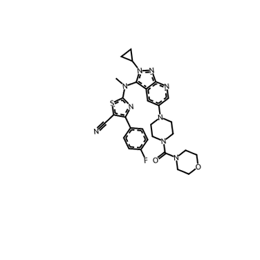 CN(c1nc(-c2ccc(F)cc2)c(C#N)s1)c1c2cc(N3CCN(C(=O)N4CCOCC4)CC3)cnc2nn1C1CC1